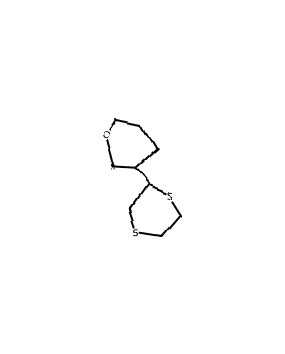 [C]1OCCCC1C1CSCCS1